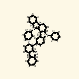 c1ccc(-n2c3ccc(-c4cccc5c4sc4ccccc45)cc3c3c2ccc2c4ccccc4n(-c4ccccc4)c23)cc1